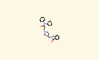 O=C1c2ccccc2CN1CC1CCN(CCC(=O)N(c2ccccc2)c2ccccc2)CC1